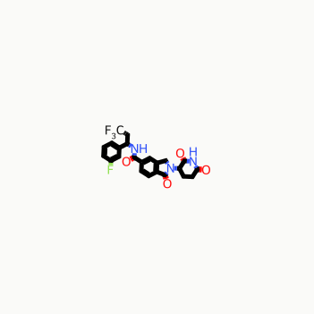 O=C1CCC(N2Cc3cc(C(=O)NC(CC(F)(F)F)c4cccc(F)c4)ccc3C2=O)C(=O)N1